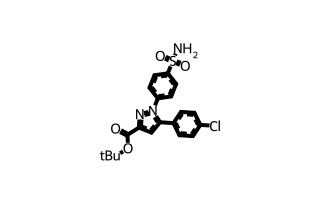 CC(C)(C)OC(=O)c1cc(-c2ccc(Cl)cc2)n(-c2ccc(S(N)(=O)=O)cc2)n1